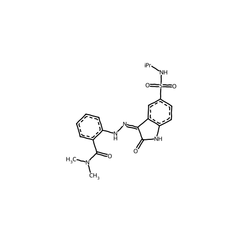 CC(C)NS(=O)(=O)c1ccc2c(c1)/C(=N/Nc1ccccc1C(=O)N(C)C)C(=O)N2